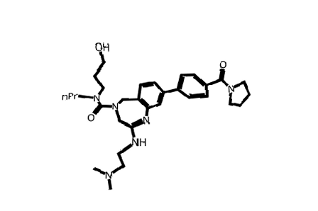 CCCN(CCCO)C(=O)N1CC(NCCN(C)C)=Nc2cc(-c3ccc(C(=O)N4CCCC4)cc3)ccc2C1